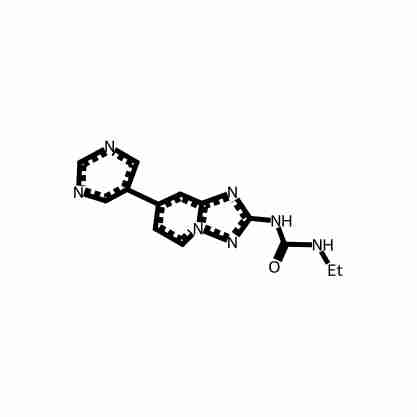 CCNC(=O)Nc1nc2cc(-c3cncnc3)ccn2n1